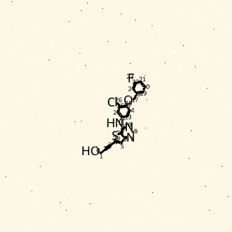 OCC#Cc1cc2ncnc(Nc3ccc(OCc4cccc(F)c4)c(Cl)c3)c2s1